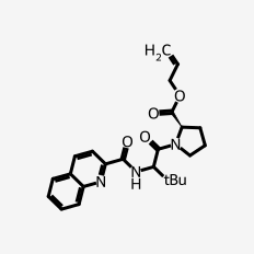 C=CCOC(=O)[C@H]1CCCN1C(=O)C(NC(=O)c1ccc2ccccc2n1)C(C)(C)C